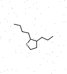 CCCCC1SCCC1CCC